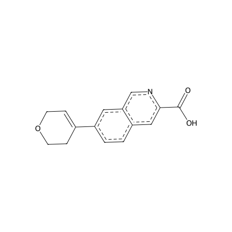 O=C(O)c1cc2ccc(C3=CCOCC3)cc2cn1